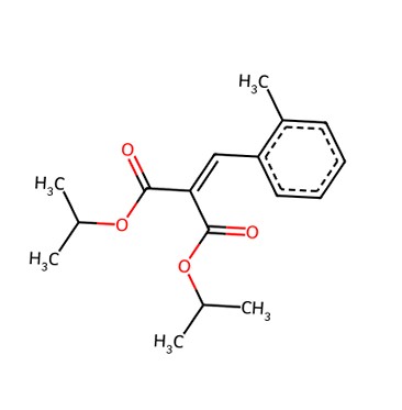 Cc1ccccc1C=C(C(=O)OC(C)C)C(=O)OC(C)C